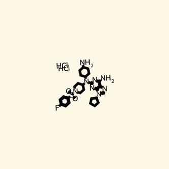 Cl.Cl.Nc1nc(N(C2CCC(N)CC2)C2CCN(S(=O)(=O)c3ccc(F)cc3)CC2)nc2c1ncn2C1CCCC1